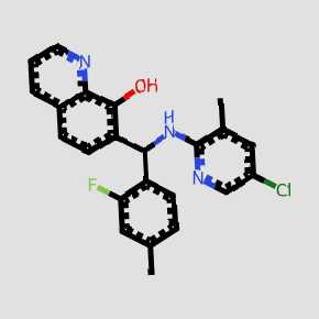 Cc1ccc(C(Nc2ncc(Cl)cc2C)c2ccc3cccnc3c2O)c(F)c1